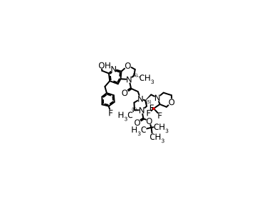 C[C@@H]1CN(CC(=O)N2c3cc(Cc4ccc(F)cc4)c(CO)nc3OC[C@@H]2C)[C@@H](CN2CCOCC2C(F)(F)F)CN1C(=O)OC(C)(C)C